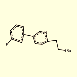 CC(C)(C)CCc1ccc(-c2cccc(F)c2)cn1